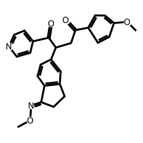 CON=C1CCc2cc(C(CC(=O)c3ccc(OC)cc3)C(=O)c3ccncc3)ccc21